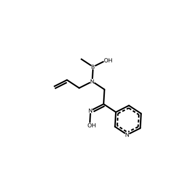 C=CCN(C/C(=N/O)c1cccnc1)B(C)O